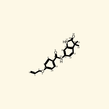 C=CCOc1ccc(C(=O)Nc2ccc3c(c2)NC(=O)C3(C)C)cc1